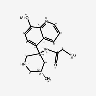 COc1ccc([C@@]2(NC(=O)CC(C)(C)C)CNC[C@@H](C)C2)c2cccnc12